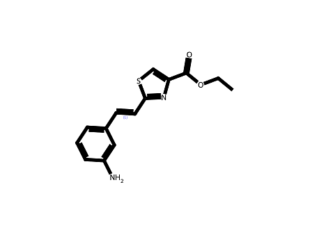 CCOC(=O)c1csc(/C=C/c2cccc(N)c2)n1